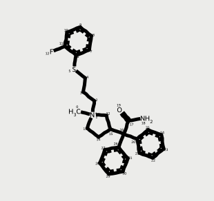 C[N+]1(CCCSc2ccccc2F)CCC(C(C(N)=O)(c2ccccc2)c2ccccc2)C1